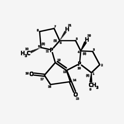 C[C@@H]1CC[C@H]2C[C@@H]3CC[C@@H](C)P3C3=C(C(=O)CC3=O)P21